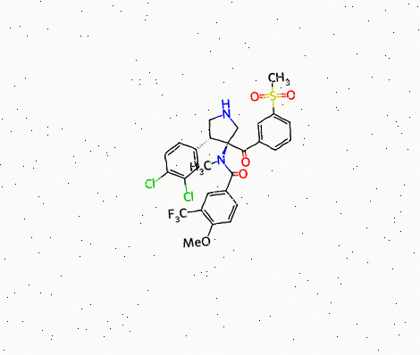 COc1ccc(C(=O)N(C)[C@]2(C(=O)c3cccc(S(C)(=O)=O)c3)CNC[C@H]2c2ccc(Cl)c(Cl)c2)cc1C(F)(F)F